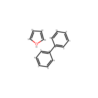 c1ccc(-c2ccccc2)cc1.c1ccoc1